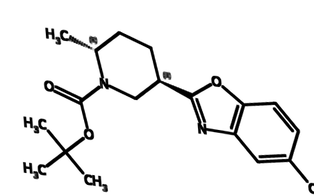 C[C@@H]1CC[C@@H](c2nc3cc(Cl)ccc3o2)CN1C(=O)OC(C)(C)C